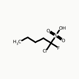 CCCCC(F)(Cl)S(=O)(=O)O